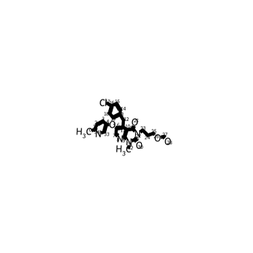 Cc1ccc(Oc2cnc3c(c2Cc2ccc(Cl)cc2)c(=O)n(CCCOC=O)c(=O)n3C)cn1